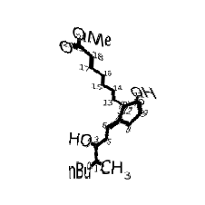 CCCCC(C)C(O)CC=C1CC[C@H](O)[C@@H]1CCCCCCC(=O)OC